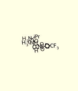 CC(C)[C@H](N)C(=O)N(C)[C@@H]1CC[C@H]2CN(S(=O)(=O)c3ccc(C(F)(F)F)cc3)C[C@H]21